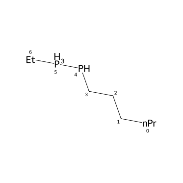 CCCCCCP[PH3]CC